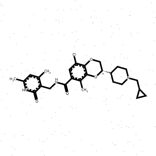 Cc1cc(C)c(CNC(=O)c2cc(Cl)c3c(c2C)O[C@@H](C2CCN(CC4CC4)CC2)CO3)c(=O)[nH]1